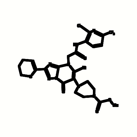 CCc1c(N2CCN(C(=O)OC(C)(C)C)CC2)c(=O)n2nc(C3=CCCCO3)nc2n1CC(=O)Nc1ccc(C(F)(F)F)nc1Cl